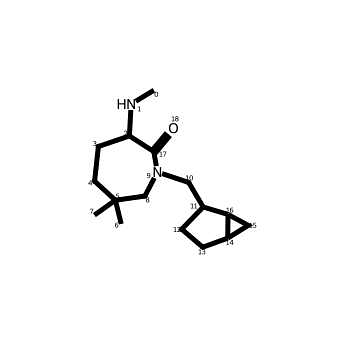 CNC1CCC(C)(C)CN(CC2CCC3CC32)C1=O